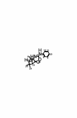 CC1=C(NC(=O)Nc2ccccc2)C(=O)C2C[C@H]1C2(C)C